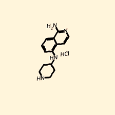 Cl.Nc1nccc2c(NC3CCNCC3)cccc12